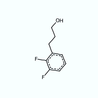 OCCCc1cccc(F)c1F